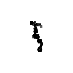 CC(N)C/N=C/c1cc(-c2cnn3cc(-c4ccc(OCCN5CCCCC5)cc4)cnc23)cs1